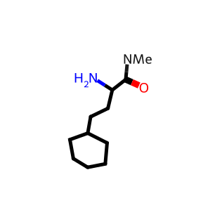 CNC(=O)C(N)CCC1CCCCC1